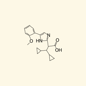 COc1ccccc1-c1cnc(C(C(=O)O)C(C2CC2)C2CC2)[nH]1